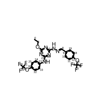 CCOc1nc(N/N=C/c2ccc(OC(F)(F)F)cc2)nc(Nc2ccc(OC(F)(F)F)cc2)n1